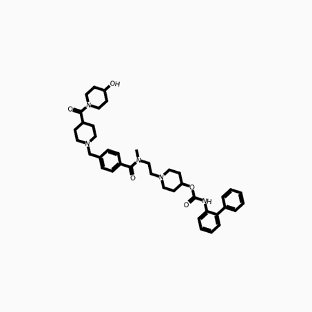 CN(CCN1CCC(OC(=O)Nc2ccccc2-c2ccccc2)CC1)C(=O)c1ccc(CN2CCC(C(=O)N3CCC(O)CC3)CC2)cc1